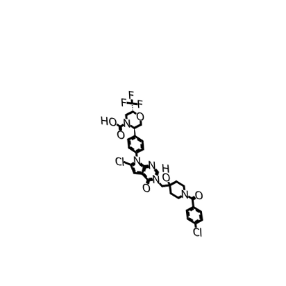 O=C(c1ccc(Cl)cc1)N1CCC(O)(Cn2cnc3c(cc(Cl)n3-c3ccc([C@@H]4CO[C@@H](C(F)(F)F)CN4C(=O)O)cc3)c2=O)CC1